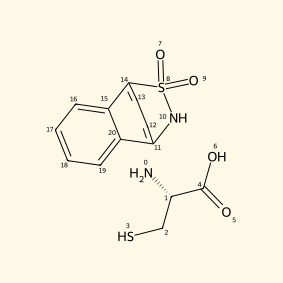 N[C@@H](CS)C(=O)O.O=S1(=O)Nc2ccc1c1ccccc21